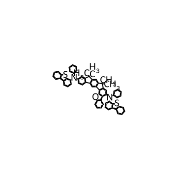 CC1(C)c2cc(N(c3ccccc3)c3cccc4c3sc3ccccc34)ccc2-c2cc3c(cc21)C(C)(C)c1cc(N(c2ccccc2)c2cccc4c2sc2ccccc24)c2c(oc4ccccc42)c1-3